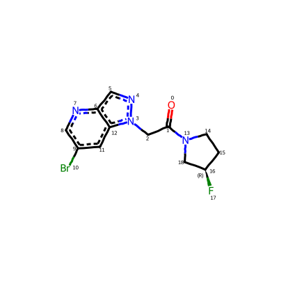 O=C(Cn1ncc2ncc(Br)cc21)N1CC[C@@H](F)C1